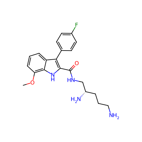 COc1cccc2c(-c3ccc(F)cc3)c(C(=O)NC[C@@H](N)CCCN)[nH]c12